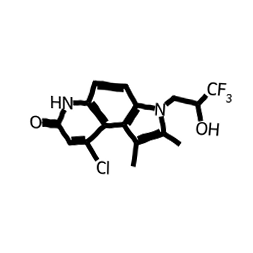 Cc1c(C)n(CC(O)C(F)(F)F)c2ccc3[nH]c(=O)cc(Cl)c3c12